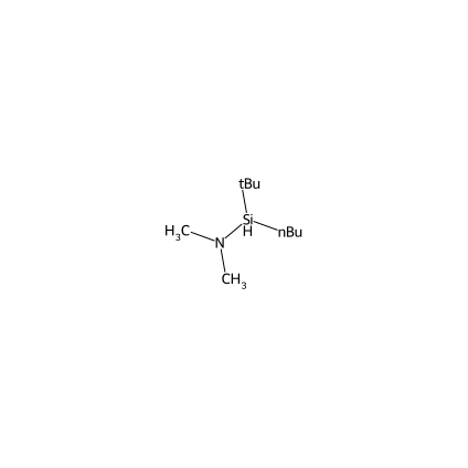 CCCC[SiH](N(C)C)C(C)(C)C